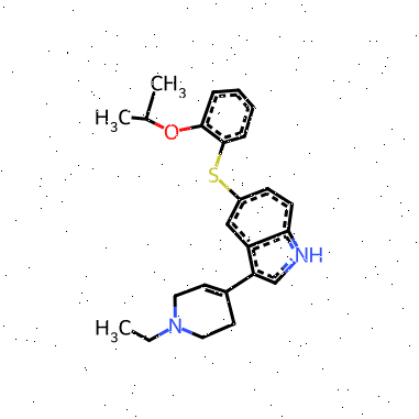 CCN1CC=C(c2c[nH]c3ccc(Sc4ccccc4OC(C)C)cc23)CC1